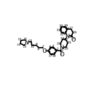 O=C(c1ccc(OCCCCCN2CCCC2)cc1)N1CCC(N2C(=O)CCc3ccccc32)CC1